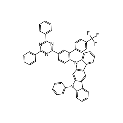 FC(F)(F)c1ccc(-c2cc(-c3nc(-c4ccccc4)nc(-c4ccccc4)n3)ccc2-n2c3ccccc3c3cc4c5ccccc5n(-c5ccccc5)c4cc32)cc1